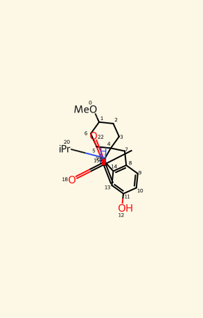 COC1CCC2(CC1)Cc1ccc(O)cc1C21NC(=O)N(C(C)C)C1=O